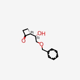 O=C1CC[C@@H]1[C@H](O)COCc1ccccc1